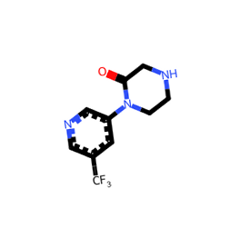 O=C1CNCCN1c1cncc(C(F)(F)F)c1